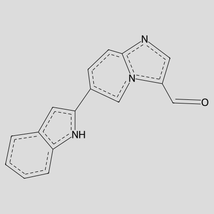 O=Cc1cnc2ccc(-c3cc4ccccc4[nH]3)cn12